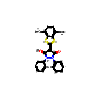 CC(=O)Oc1ccc(OC(C)=O)c2c1SC(=C1C(=O)N(c3ccccc3)N(c3ccccc3)C1=O)S2